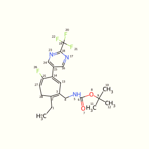 CCC1=C(CNC(=O)OC(C)(C)C)C=C(c2cnc(C(F)(F)F)nc2)C(F)=CC1